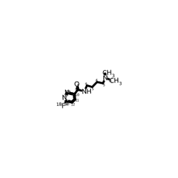 CN(C)CCCCNC(=O)c1ccc([18F])nn1